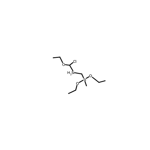 CCOC(Cl)[SiH2]C[Si](C)(OCC)OCC